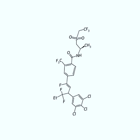 CCC(F)(F)C(/C=C(\F)c1ccc(C(=O)N[C@H](C)CS(=O)(=O)CC(F)(F)F)c(C(F)(F)F)c1)c1cc(Cl)c(Cl)c(Cl)c1